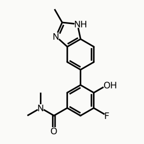 Cc1nc2cc(-c3cc(C(=O)N(C)C)cc(F)c3O)ccc2[nH]1